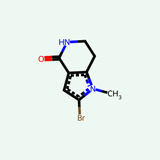 Cn1c(Br)cc2c1CCNC2=O